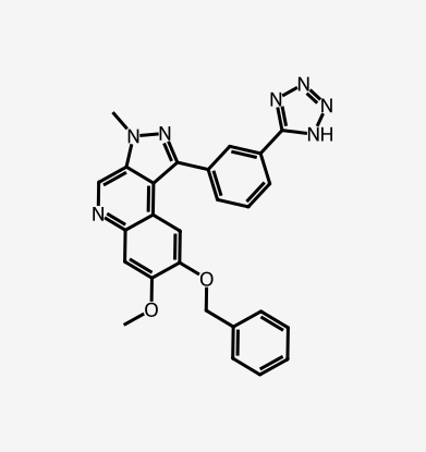 COc1cc2ncc3c(c(-c4cccc(-c5nnn[nH]5)c4)nn3C)c2cc1OCc1ccccc1